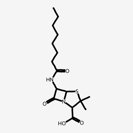 CCCCCCCC(=O)NC1C(=O)N2C1SC(C)(C)C2C(=O)O